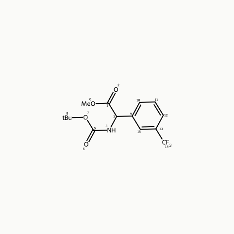 COC(=O)C(NC(=O)OC(C)(C)C)c1cccc(C(F)(F)F)c1